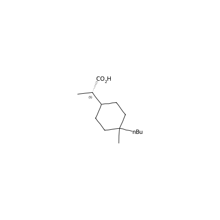 CCCCC1(C)CCC([C@H](C)C(=O)O)CC1